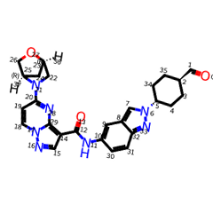 O=C[C@H]1CC[C@H](n2cc3cc(NC(=O)c4cnn5ccc(N6C[C@H]7C[C@@H]6CO7)nc45)ccc3n2)CC1